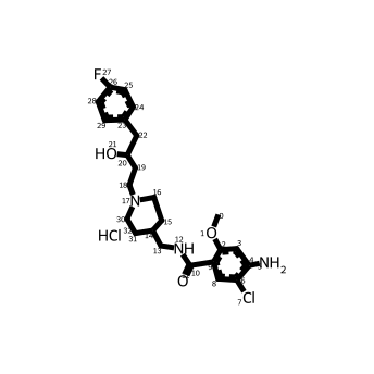 COc1cc(N)c(Cl)cc1C(=O)NCC1CCN(CCC(O)Cc2ccc(F)cc2)CC1.Cl